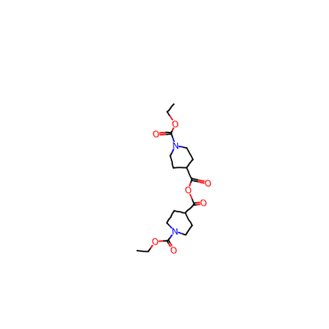 CCOC(=O)N1CCC(C(=O)OC(=O)C2CCN(C(=O)OCC)CC2)CC1